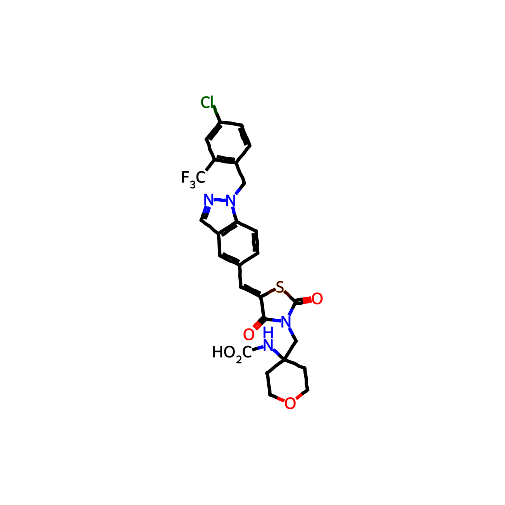 O=C(O)NC1(CN2C(=O)S/C(=C\c3ccc4c(cnn4Cc4ccc(Cl)cc4C(F)(F)F)c3)C2=O)CCOCC1